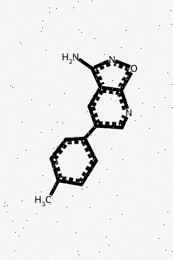 Cc1ccc(-c2cnc3onc(N)c3c2)cc1